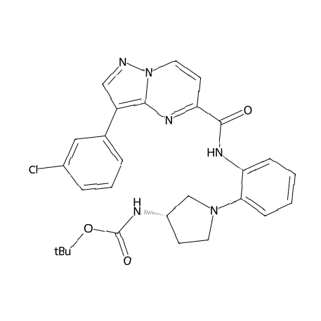 CC(C)(C)OC(=O)N[C@H]1CCN(c2ccccc2NC(=O)c2ccn3ncc(-c4cccc(Cl)c4)c3n2)C1